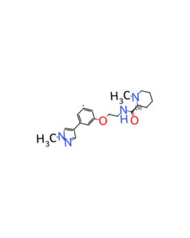 CN1CCCC[C@H]1C(=O)NCCOc1c[c]cc(-c2cnn(C)c2)c1